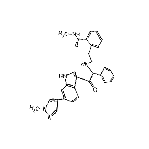 CNC(=O)c1ccccc1CCNC(C(=O)c1c[nH]c2cc(-c3cnn(C)c3)ccc12)c1ccccc1